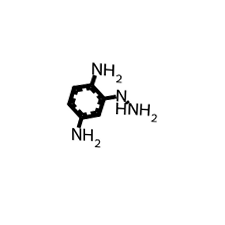 NNc1cc(N)ccc1N